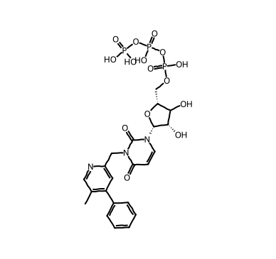 Cc1cnc(Cn2c(=O)ccn([C@@H]3O[C@H](COP(=O)(O)OP(=O)(O)OP(=O)(O)O)C(O)[C@@H]3O)c2=O)cc1-c1ccccc1